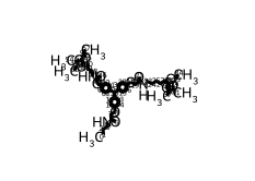 CCCCNC(=O)COc1ccc(C(c2ccc(OCC(=O)NCCCCC[Si](OCC)(OCC)OCC)cc2)c2ccc(OC(=O)NCCC[Si](OCC)(OCC)OCC)cc2)cc1